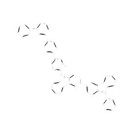 C1=c2c(n(-c3ncc(-c4ccc(-c5cccc6c5sc5ccccc56)cc4)cn3)c3ccccc23)=CCC1c1ccc2c(c1)c1ccccc1n2-c1ccccc1